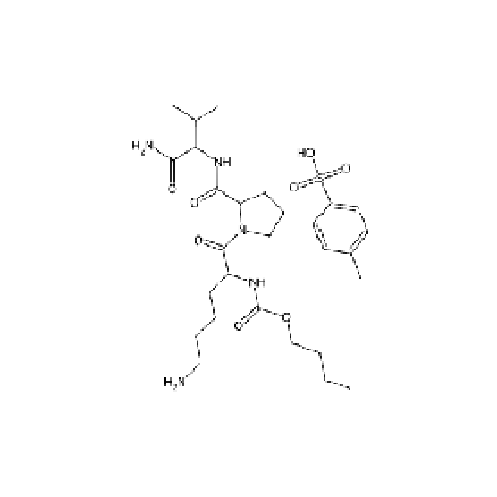 CCCCOC(=O)NC(CCCCN)C(=O)N1CCCC1C(=O)NC(C(N)=O)C(C)C.Cc1ccc(S(=O)(=O)O)cc1